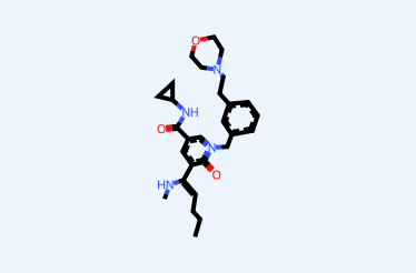 CCC/C=C(\NC)c1cc(C(=O)NC2CC2)cn(Cc2cccc(CCN3CCOCC3)c2)c1=O